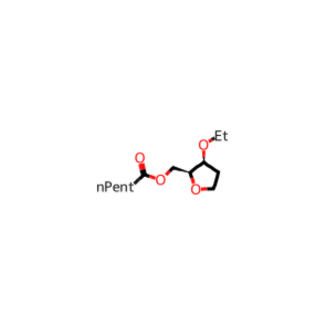 CCCCCC(=O)OC[C@@H]1OCC[C@@H]1OCC